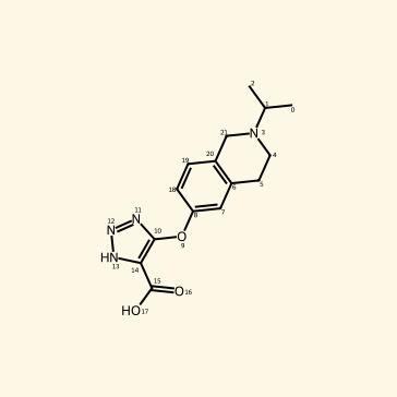 CC(C)N1CCc2cc(Oc3nn[nH]c3C(=O)O)ccc2C1